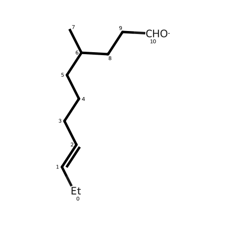 CCC=CCCCC(C)CC[C]=O